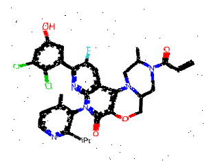 C=CC(=O)N1CC2COc3c(c4cc(F)c(-c5cc(O)cc(Cl)c5Cl)nc4n(-c4c(C)ccnc4C(C)C)c3=O)N2CC1C